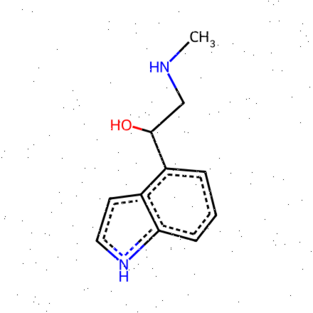 CNCC(O)c1cccc2[nH]ccc12